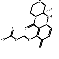 C=C1C=CN2N[C@@H]3COCCN3C(=O)C2=C1OCOC(=O)OC